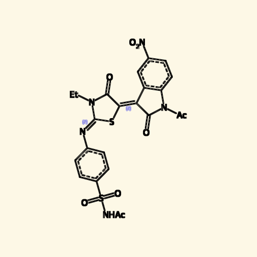 CCN1C(=O)/C(=C2/C(=O)N(C(C)=O)c3ccc([N+](=O)[O-])cc32)S/C1=N\c1ccc(S(=O)(=O)NC(C)=O)cc1